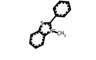 C[n+]1c(-c2ccccc2)sc2ccccc21